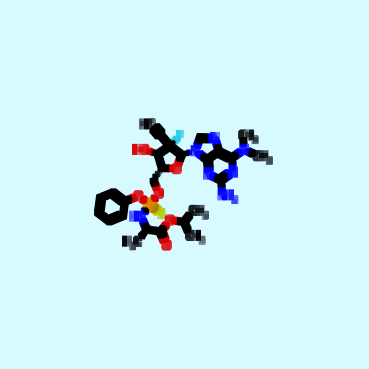 C#C[C@@]1(F)[C@H](O)[C@@H](COP(=S)(N[C@H](C)C(=O)OC(C)C)Oc2ccccc2)O[C@H]1n1cnc2c(N(C)C)nc(N)nc21